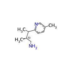 Cc1ccc(C(C)[C@H](C)CN)nc1